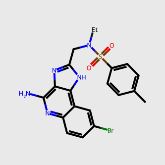 CCN(Cc1nc2c(N)nc3ccc(Br)cc3c2[nH]1)S(=O)(=O)c1ccc(C)cc1